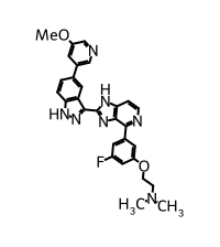 COc1cncc(-c2ccc3[nH]nc(-c4nc5c(-c6cc(F)cc(OCCN(C)C)c6)nccc5[nH]4)c3c2)c1